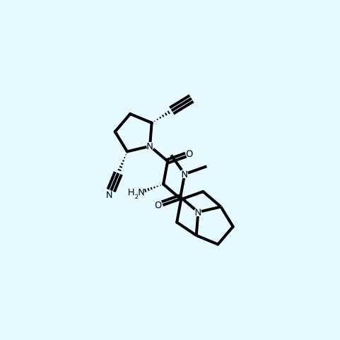 C#C[C@H]1CC[C@@H](C#N)N1C(=O)[C@@H](N)C1CC2CCC(C1)N2C(=O)N(C)C